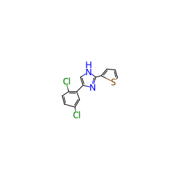 Clc1ccc(Cl)c(-c2c[nH]c(-c3cccs3)n2)c1